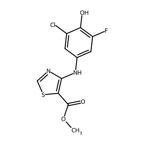 COC(=O)c1scnc1Nc1cc(F)c(O)c(Cl)c1